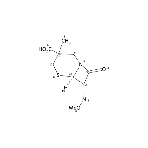 CON=C1C(=O)N2CC(C)(C(=O)O)CS[C@H]12